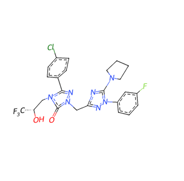 O=c1n(Cc2nc(N3CCCC3)n(-c3cccc(F)c3)n2)nc(-c2ccc(Cl)cc2)n1C[C@H](O)C(F)(F)F